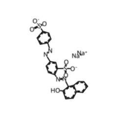 O=S(=O)([O-])c1ccc(N=Nc2ccc(N=Nc3c(O)ccc4ccccc34)c(S(=O)(=O)[O-])c2)cc1.[Na+].[Na+]